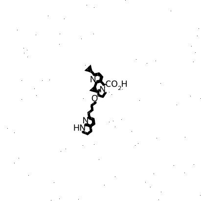 O=C(O)[C@H](c1ccc(C2CC2)nc1C1CC1)N1CC[C@@H](OCCCCc2ccc3c(n2)NCCC3)C1